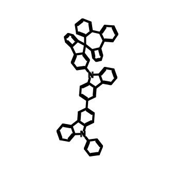 c1ccc(-n2c3ccccc3c3cc(-c4ccc5c(c4)c4ccccc4n5-c4ccc5c(c4)C4(c6ccccc6-c6ccccc6-c6ccccc64)c4ccccc4-5)ccc32)cc1